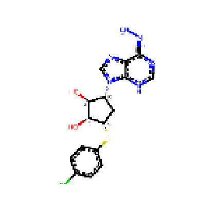 N/N=c1/nc[nH]c2c1ncn2[C@@H]1C[C@H](Sc2ccc(Cl)cc2)[C@@H](O)[C@H]1O